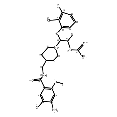 COc1cc(N)c(Cl)cc1C(=O)NCC1CCN(C(Oc2cccc(Cl)c2Cl)C(C)OC(N)=O)CC1